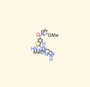 CCCN(CCOC)C(=O)c1ccc2c3c(sc2c1)NCNC3Nc1cc2cn[nH]c2nc1OC